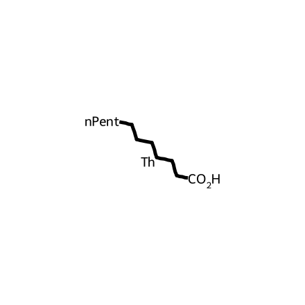 CCCCCCCCCCCC(=O)O.[Th]